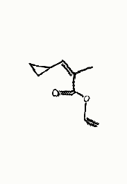 C=COC(=O)C(C)=CC1CC1